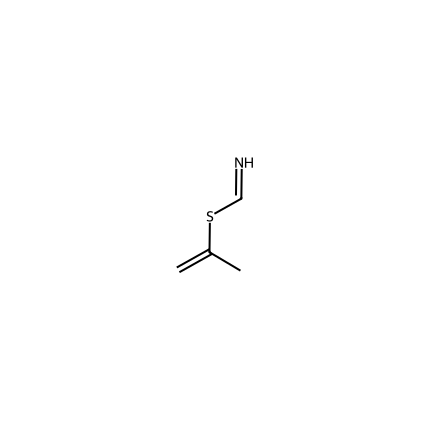 C=C(C)SC=N